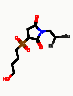 CCCCC(CC)CN1C(=O)CC(S(=O)(=O)CCCCO)C1=O